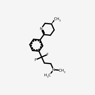 C[C@H]1CCC(c2cccc(C(F)(F)CCN(C)C)c2)=NC1